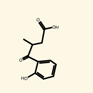 CC(CC(=O)O)C(=O)c1ccccc1O